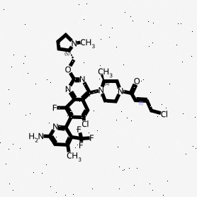 Cc1cc(N)nc(-c2c(Cl)cc3c(N4CCN(C(=O)/C=C/CCl)C[C@@H]4C)nc(OC[C@@H]4CCCN4C)nc3c2F)c1C(F)(F)F